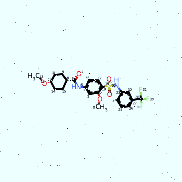 COc1cc(NC(=O)[C@H]2CC[C@@H](OC)CC2)ccc1S(=O)(=O)Nc1cccc(C(F)(F)F)c1